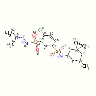 CC1CC(NS(=O)(=O)c2ccc(Cl)c(S(=O)(=O)/N=C/N(C)C)c2)CC(C)(C)C1